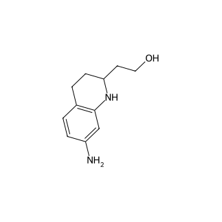 Nc1ccc2c(c1)NC(CCO)CC2